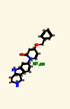 Cl.Cl.O=c1cc(OCc2ccccc2)ccn1-c1ccc2c3c([nH]c2c1)CCNC3